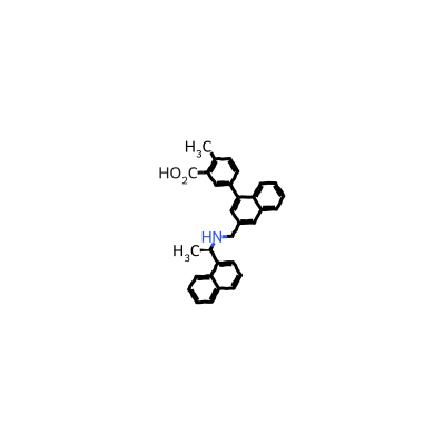 Cc1ccc(-c2cc(CN[C@H](C)c3cccc4ccccc34)cc3ccccc23)cc1C(=O)O